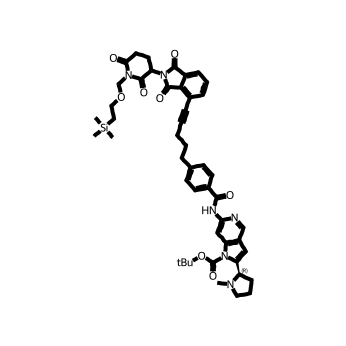 CN1CCC[C@@H]1c1cc2cnc(NC(=O)c3ccc(CCCC#Cc4cccc5c4C(=O)N(C4CCC(=O)N(COCC[Si](C)(C)C)C4=O)C5=O)cc3)cc2n1C(=O)OC(C)(C)C